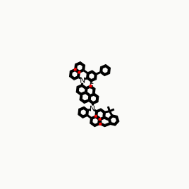 CC1(C)c2cccc3ccc4cc(N(c5ccccc5-c5ccccc5)c5ccc6ccc7c(N(c8ccccc8)c8c(F)cc(-c9ccccc9)cc8-c8ccccc8)ccc8ccc5c6c87)cc1c4c23